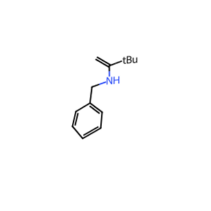 C=C(NCc1ccccc1)C(C)(C)C